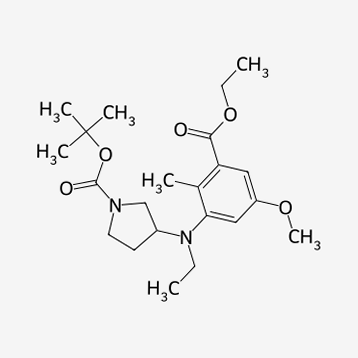 CCOC(=O)c1cc(OC)cc(N(CC)C2CCN(C(=O)OC(C)(C)C)C2)c1C